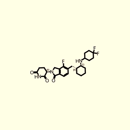 O=C1CC[C@@H](N2Cc3c(ccc(C[C@H]4CCCC[C@@H]4NC4CCC(F)(F)CC4)c3F)C2=O)C(=O)N1